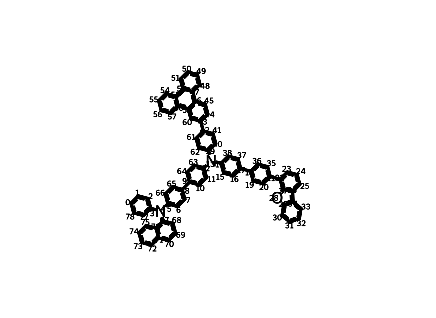 c1ccc(N(c2ccc(-c3ccc(N(c4ccc(-c5ccc(-c6cccc7c6oc6ccccc67)cc5)cc4)c4ccc(-c5ccc6c7ccccc7c7ccccc7c6c5)cc4)cc3)cc2)c2cccc3ccccc23)cc1